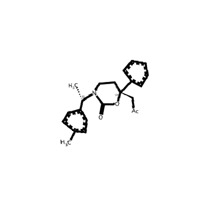 CC(=O)C[C@]1(c2ccccc2)CCN([C@@H](C)c2ccc(C)cc2)C(=O)O1